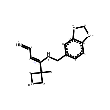 CC1(/C(=C/C=N)NCc2ccc3c(c2)OCO3)COC1